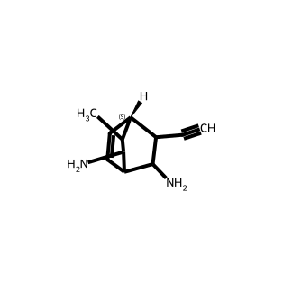 C#CC1C(N)C2C=C[C@H]1C(C)C2N